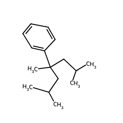 C[C](C)CC(C)(CC(C)C)c1ccccc1